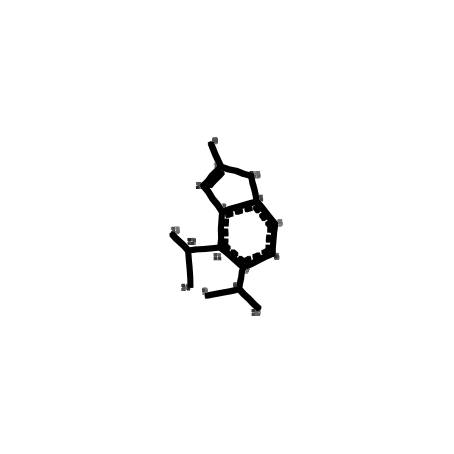 CC1=Cc2c(ccc(C(C)C)c2C(C)C)[CH]1